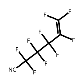 N#CC(F)(F)C(F)(F)C(F)(F)C(F)=C(F)F